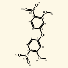 COc1cc(Oc2ccc([N+](=O)[O-])c(OC)c2)ccc1[N+](=O)[O-]